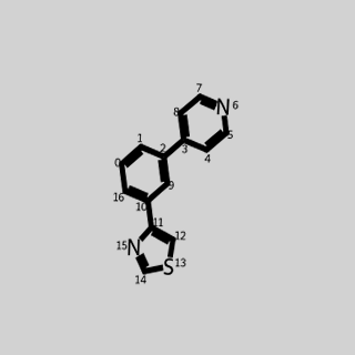 c1cc(-c2ccncc2)cc(-c2cscn2)c1